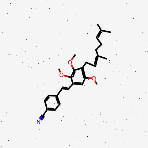 COc1cc(C=Cc2ccc(C#N)cc2)c(OC)c(OC)c1CC=C(C)CCC=C(C)C